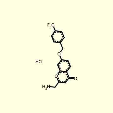 Cl.NCc1cc(=O)c2ccc(OCc3ccc(C(F)(F)F)cc3)cc2o1